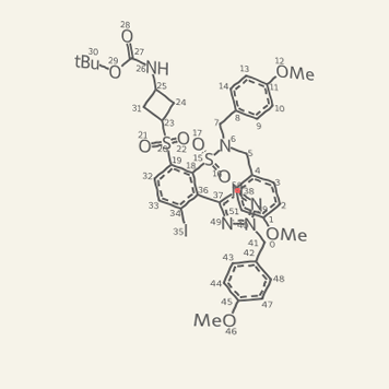 COc1ccc(CN(Cc2ccc(OC)cc2)S(=O)(=O)c2c(S(=O)(=O)C3CC(NC(=O)OC(C)(C)C)C3)ccc(I)c2-c2nnn(Cc3ccc(OC)cc3)n2)cc1